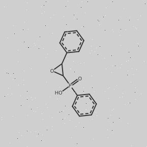 O=P(O)(c1ccccc1)C1OC1c1ccccc1